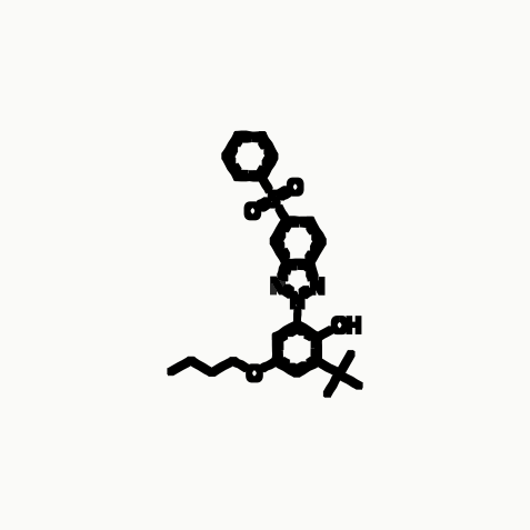 CCCCOc1cc(-n2nc3ccc(S(=O)(=O)c4ccccc4)cc3n2)c(O)c(C(C)(C)C)c1